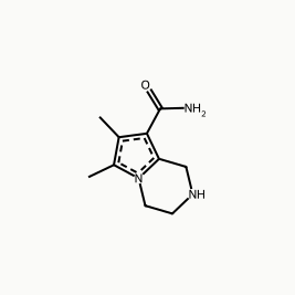 Cc1c(C(N)=O)c2n(c1C)CCNC2